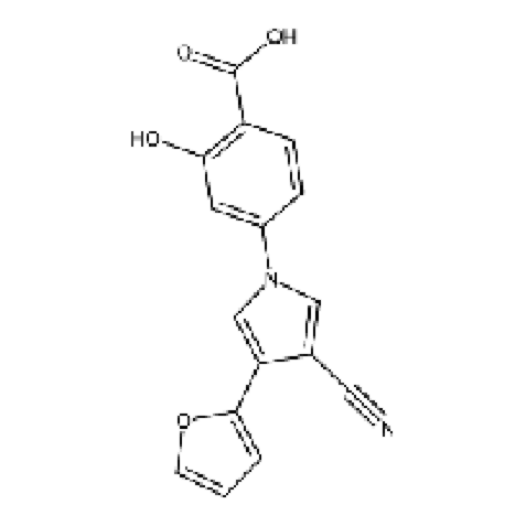 N#Cc1cn(-c2ccc(C(=O)O)c(O)c2)cc1-c1ccco1